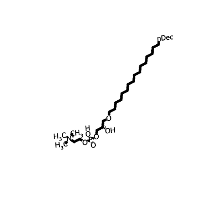 CCCCCCCCCCCCCCCCCCCCCCCCCCOC[C@H](O)COP(=O)(O)OCC[N+](C)(C)C